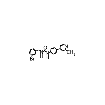 Cc1cc(-c2ccc(NC(=O)NCc3cccc(Br)c3)cc2)ccn1